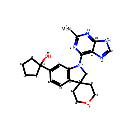 CNc1nc(N2CC3(CCOCC3)c3ccc(C4(O)CCCC4)cc32)c2nc[nH]c2n1